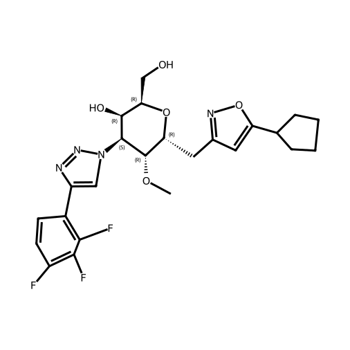 CO[C@@H]1[C@@H](n2cc(-c3ccc(F)c(F)c3F)nn2)[C@@H](O)[C@@H](CO)O[C@@H]1Cc1cc(C2CCCC2)on1